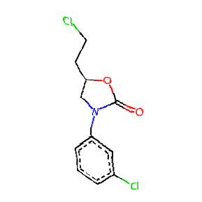 O=C1OC(CCCl)CN1c1cccc(Cl)c1